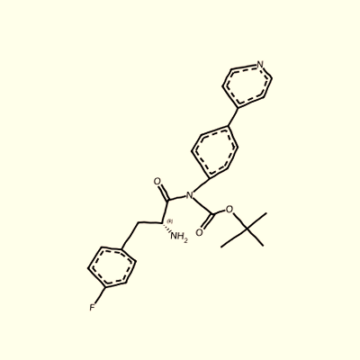 CC(C)(C)OC(=O)N(C(=O)[C@H](N)Cc1ccc(F)cc1)c1ccc(-c2ccncc2)cc1